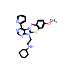 COc1ccc(I)c(Sc2nc3c(-c4ccccn4)ncnc3n2CCNC2CCCCC2)c1